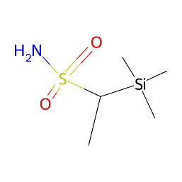 CC([Si](C)(C)C)S(N)(=O)=O